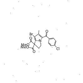 COC(=O)C1(C(=O)OC)CCn2c(C(=O)c3ccc(Cl)cc3)c(C)c(Br)c21